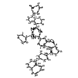 c1ccc(-c2nc(-c3ccc4c(c3)oc3cccc(-c5ccc(-c6cccc7ccccc67)cc5)c34)nc(-c3cccc4c(-c5ccccc5)cccc34)n2)cc1